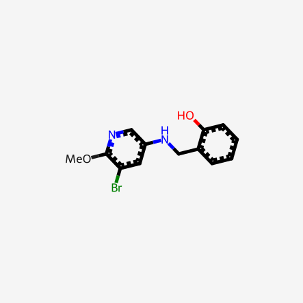 COc1ncc(NCc2ccccc2O)cc1Br